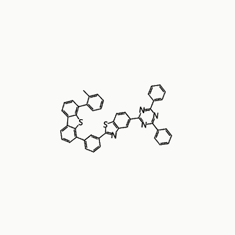 Cc1ccccc1-c1cccc2c1sc1c(-c3cccc(-c4nc5cc(-c6nc(-c7ccccc7)nc(-c7ccccc7)n6)ccc5s4)c3)cccc12